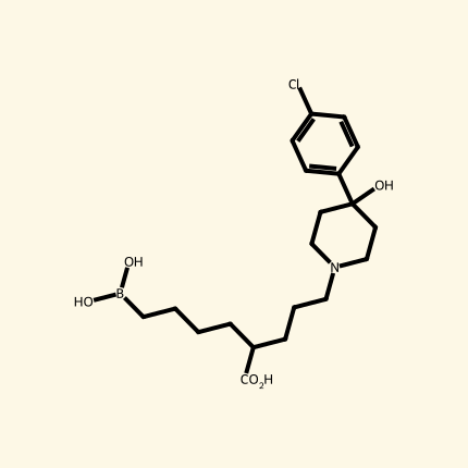 O=C(O)C(CCCCB(O)O)CCCN1CCC(O)(c2ccc(Cl)cc2)CC1